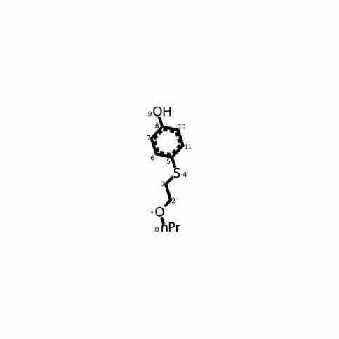 CCCOCCSc1ccc(O)cc1